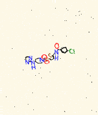 O=C(NCc1ccc(S(=O)(=O)N2CCC(Nc3ncccn3)CC2)s1)c1ccc(Cl)cc1